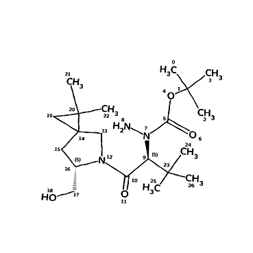 CC(C)(C)OC(=O)N(N)[C@H](C(=O)N1CC2(C[C@H]1CO)CC2(C)C)C(C)(C)C